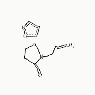 C=CCN1OCCC1=O.c1cnoc1